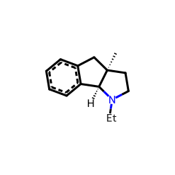 CCN1CC[C@]2(C)Cc3ccccc3[C@H]12